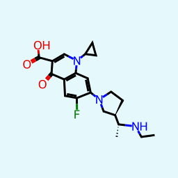 CCN[C@H](C)[C@@H]1CCN(c2cc3c(cc2F)c(=O)c(C(=O)O)cn3C2CC2)C1